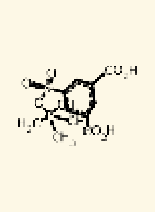 CP(C)(C)(C)OS(=O)(=O)c1cc(C(=O)O)cc(C(=O)O)c1